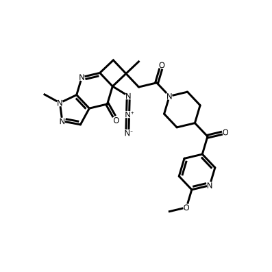 COc1ccc(C(=O)C2CCN(C(=O)CC3(C)CC4=Nc5c(cnn5C)C(=O)C43N=[N+]=[N-])CC2)cn1